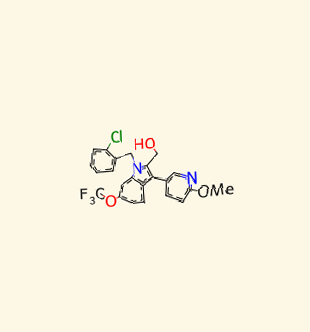 COc1ccc(-c2c(CO)n(Cc3ccccc3Cl)c3cc(OC(F)(F)F)ccc23)cn1